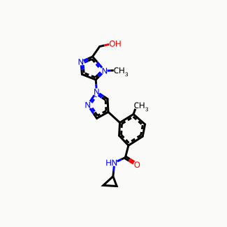 Cc1ccc(C(=O)NC2CC2)cc1-c1cnn(-c2cnc(CO)n2C)c1